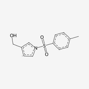 Cc1ccc(S(=O)(=O)n2c[c]c(CO)c2)cc1